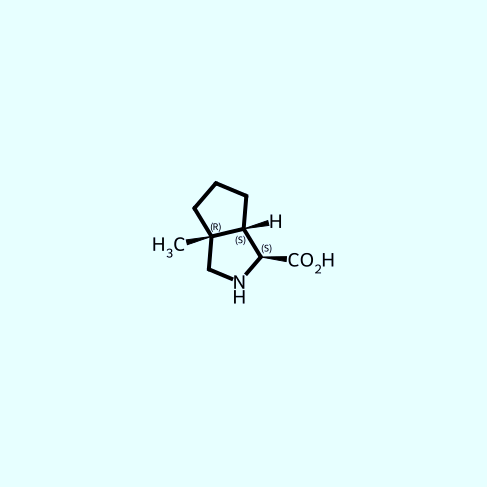 C[C@@]12CCC[C@@H]1[C@@H](C(=O)O)NC2